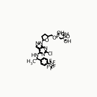 C[C@@H](Nc1nc(Cl)nc2c1cnn2C1CCC(COP(O)CP(=O)(O)O)O1)c1ccc(S(F)(F)(F)(F)F)cc1